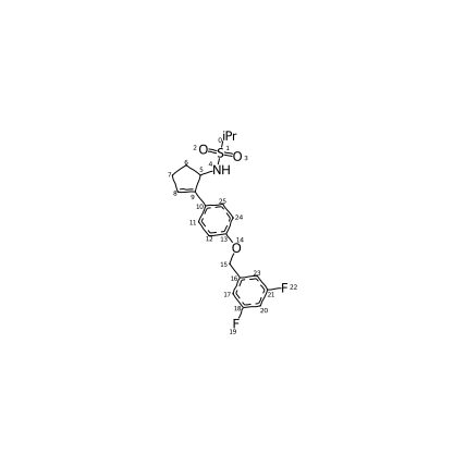 CC(C)S(=O)(=O)NC1CCC=C1c1ccc(OCc2cc(F)cc(F)c2)cc1